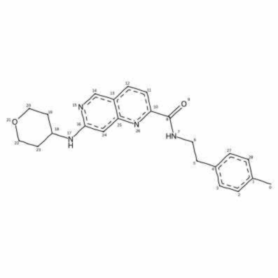 Cc1ccc(CCNC(=O)c2ccc3cnc(NC4CCOCC4)cc3n2)cc1